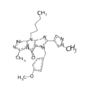 CCCCCn1c2nc(-c3cnn(C)c3)n(Cc3ccc(OC)cc3)c2c(=O)n2c(C)nnc12